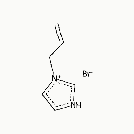 C=CC[n+]1cc[nH]c1.[Br-]